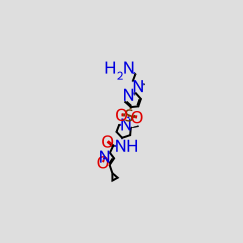 C[C@H]1C[C@H](NC(=O)c2cc(C3CC3)on2)CCN1S(=O)(=O)c1ccc(N(C)CCN)nc1